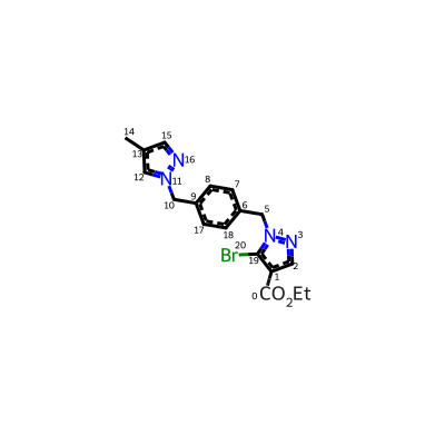 CCOC(=O)c1cnn(Cc2ccc(Cn3cc(C)cn3)cc2)c1Br